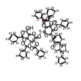 O=C(O[C@@H]1[C@@H](OC(=O)c2ccccc2)[C@H](OC[C@H]2O[C@@H](OCCOCC3N(c4ccccc4)CCN3c3ccccc3)[C@H](OC(=O)c3ccccc3)[C@@H](OC(=O)c3ccccc3)[C@@H]2OC(=O)c2ccccc2)O[C@H](CO)[C@H]1OC(=O)c1ccccc1)c1ccccc1